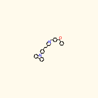 O=C(c1ccccc1)c1ccc(CN2C=CC(/C=C/c3ccc(-n4c5ccccc5c5ccccc54)cc3)=CC2)cc1